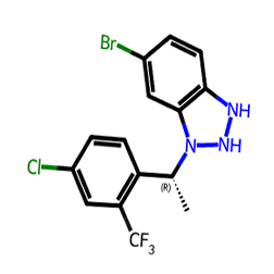 C[C@H](c1ccc(Cl)cc1C(F)(F)F)N1NNc2ccc(Br)cc21